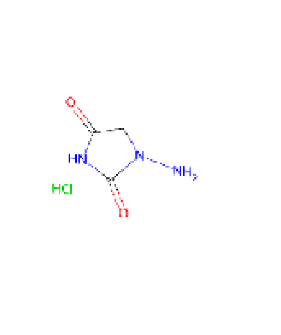 Cl.NN1CC(=O)NC1=O